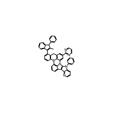 CC1=C(c2cccc3c2Cc2cc(-c4ncccn4)cc4c2B3c2cccc3c5c6ncccc6n(-c6ccccc6)c5n-4c23)c2ccccc2C1c1ccccc1